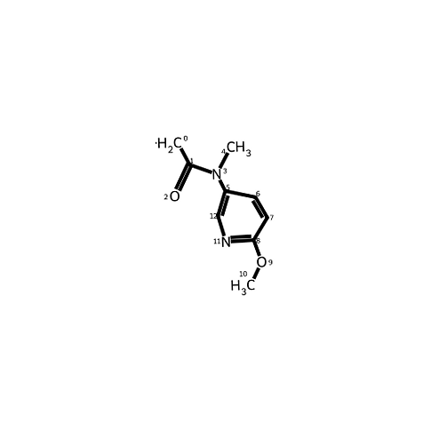 [CH2]C(=O)N(C)c1ccc(OC)nc1